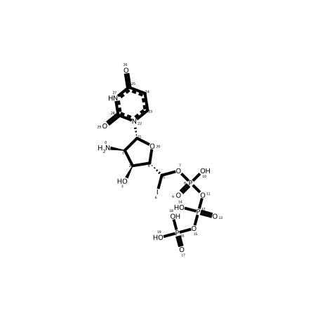 N[C@@H]1[C@H](O)[C@@H](C(I)OP(=O)(O)OP(=O)(O)OP(=O)(O)O)O[C@H]1n1ccc(=O)[nH]c1=O